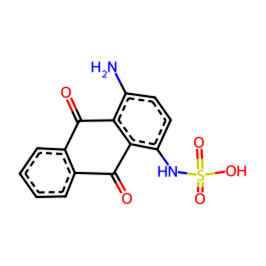 Nc1ccc(NS(=O)(=O)O)c2c1C(=O)c1ccccc1C2=O